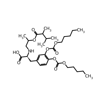 CCCCCOC(=O)Oc1ccc(C[C@H](NCC(C)OC(=O)C(C)C(C)C)C(=O)O)cc1OC(=O)OCCCCC